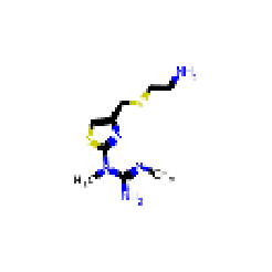 CN=C(N)N(C)c1nc(CSCCN)cs1